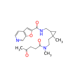 CC(=O)CCC(=O)N(C)CCC1(C)CC1CNC(=O)c1cc2ccncc2o1